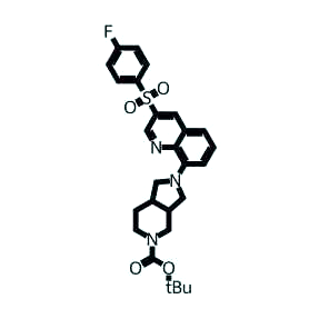 CC(C)(C)OC(=O)N1CCC2CN(c3cccc4cc(S(=O)(=O)c5ccc(F)cc5)cnc34)CC2C1